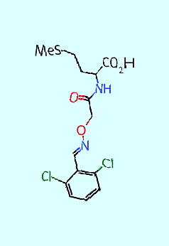 CSCCC(NC(=O)CO/N=C/c1c(Cl)cccc1Cl)C(=O)O